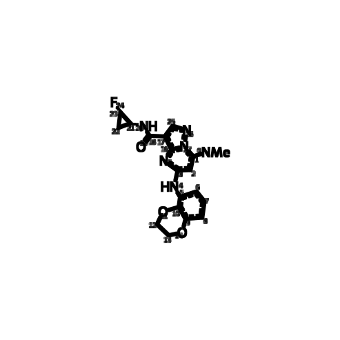 CNc1cc(Nc2cccc3c2OCCO3)nc2c(C(=O)N[C@@H]3C[C@@H]3F)cnn12